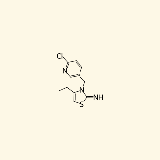 CCc1csc(=N)n1Cc1ccc(Cl)nc1